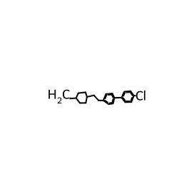 C=CC1CCC(CCc2ccc(-c3ccc(Cl)cc3)cc2)CC1